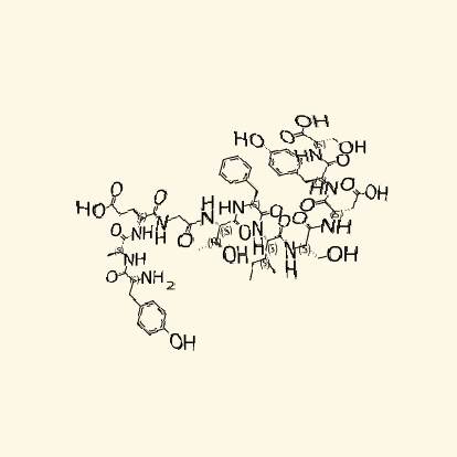 CC[C@H](C)[C@H](NC(=O)[C@H](Cc1ccccc1)NC(=O)[C@@H](NC(=O)CNC(=O)[C@H](CCC(=O)O)NC(=O)[C@H](C)NC(=O)[C@@H](N)Cc1ccc(O)cc1)[C@@H](C)O)C(=O)N[C@@H](CO)C(=O)N[C@@H](CC(=O)O)C(=O)N[C@@H](Cc1ccc(O)cc1)C(=O)N[C@@H](CO)C(=O)O